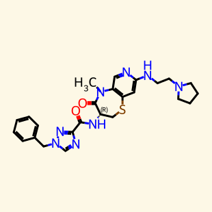 CN1C(=O)[C@@H](NC(=O)c2ncn(Cc3ccccc3)n2)CSc2cc(NCCN3CCCC3)ncc21